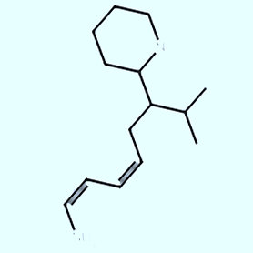 CC(C)C(C/C=C\C=C/N)C1CCCCN1